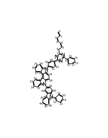 C=C/C=C\C=C/Cc1nc(-c2ccccc2)nc(-c2ccc(-n3c4ccccc4c4c5c6ccccc6n(-c6ccc7c(c6)c6ccccc6n7-c6ccccc6)c5ccc43)cc2)n1